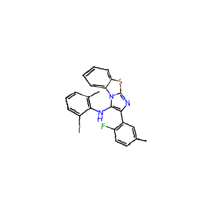 Cc1ccc(F)c(-c2nc3sc4ccccc4n3c2Nc2c(C)cccc2I)c1